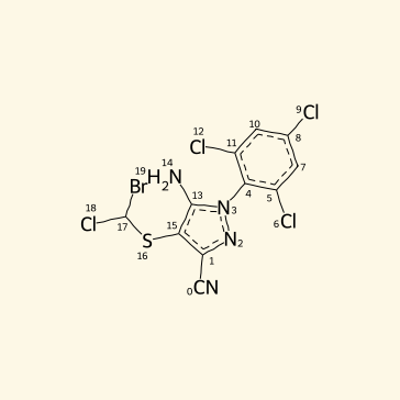 N#Cc1nn(-c2c(Cl)cc(Cl)cc2Cl)c(N)c1SC(Cl)Br